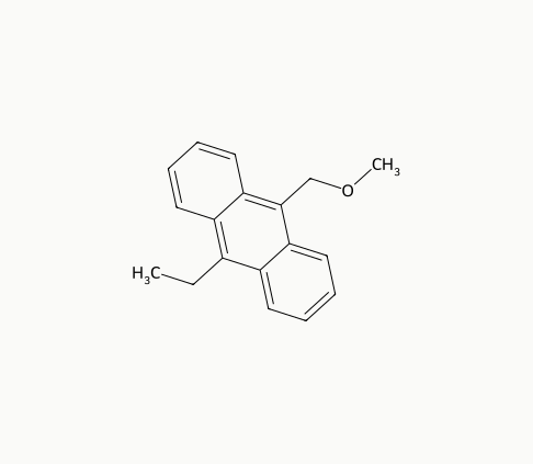 CCc1c2ccccc2c(COC)c2ccccc12